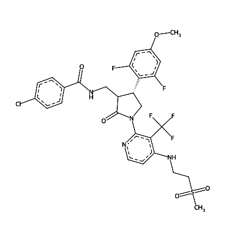 COc1cc(F)c([C@@H]2CN(c3nccc(NCCS(C)(=O)=O)c3C(F)(F)F)C(=O)C2CNC(=O)c2ccc(Cl)cc2)c(F)c1